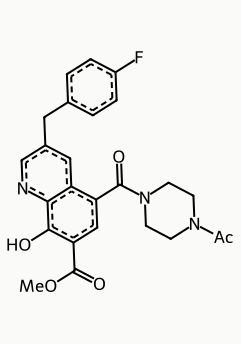 COC(=O)c1cc(C(=O)N2CCN(C(C)=O)CC2)c2cc(Cc3ccc(F)cc3)cnc2c1O